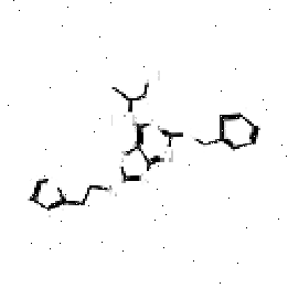 CC(CO)Nc1nc(SCc2ccccc2)nc2nc(NCCc3cccs3)sc12